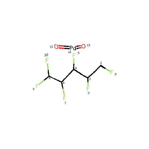 FCC(F)C(F)C(F)C(F)F.[O]=[Pd]=[O]